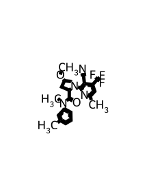 COC1CC(C(=O)N(C)c2cccc(C)c2)N(c2nc(C)cc(C(F)(F)F)c2C#N)C1